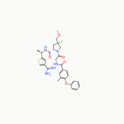 COC[C@@]1(F)C[C@@H](C(=O)N[C@H](C)c2cc(C(=N)N)cs2)N(C(=O)CNC(=O)c2ccc(Oc3ccccc3)c(C)c2)C1